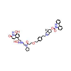 O=C(Nc1ccccc1-c1ccccc1)O[C@@H]1CC2CN(CCc3ccc(CCOCCC(=O)N(CCNC[C@H](O)c4ccc(O)c5[nH]c(=O)ccc45)C4CCCC4)cc3)C[C@H]2C1